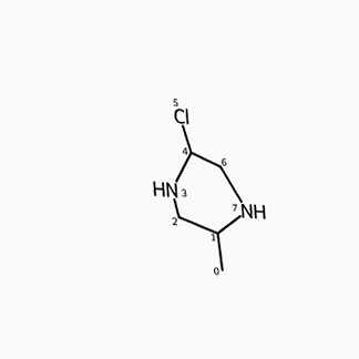 CC1CNC(Cl)CN1